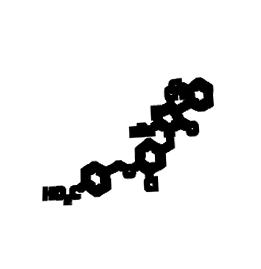 CCCCc1nc(C)c(-c2ccccc2Cl)c(=O)n1Cc1ccc(OCc2ccc(C(=O)O)cc2)c(Cl)c1